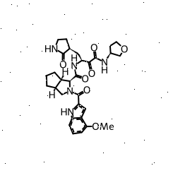 COc1cccc2[nH]c(C(=O)N3C[C@@H]4CCC[C@@H]4[C@H]3C(=O)N[C@@H](C[C@@H]3CCNC3=O)C(=O)C(=O)N[C@H]3CCOC3)cc12